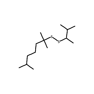 CC(C)CCCC(C)(C)SSC(C)C(C)C